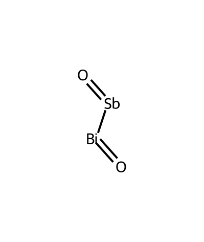 [O]=[Sb][Bi]=[O]